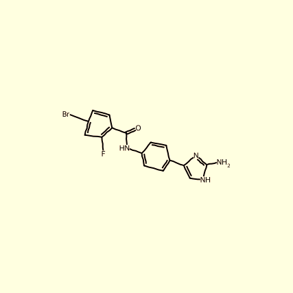 Nc1nc(-c2ccc(NC(=O)c3ccc(Br)cc3F)cc2)c[nH]1